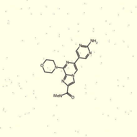 CNC(=O)c1cn2cc(-c3cnc(N)nc3)nc(N3CCOCC3)c2n1